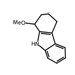 COC1C[C]Cc2c1[nH]c1ccccc21